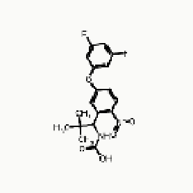 CC(C)(C)C(NC(=O)O)c1cc(Oc2cc(F)cc(F)c2)ccc1[N+](=O)[O-]